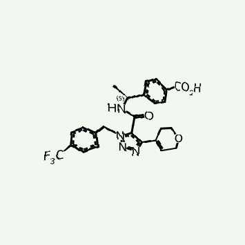 C[C@H](NC(=O)c1c(C2=CCOCC2)nnn1Cc1ccc(C(F)(F)F)cc1)c1ccc(C(=O)O)cc1